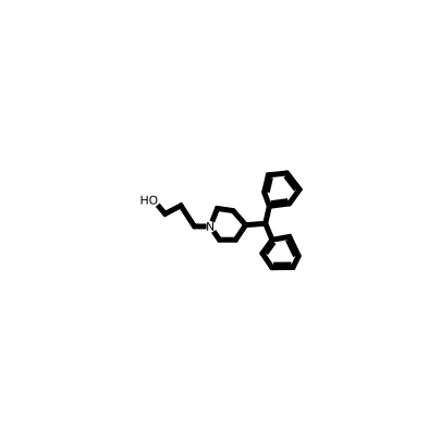 OCCCN1CCC(C(c2ccccc2)c2ccccc2)CC1